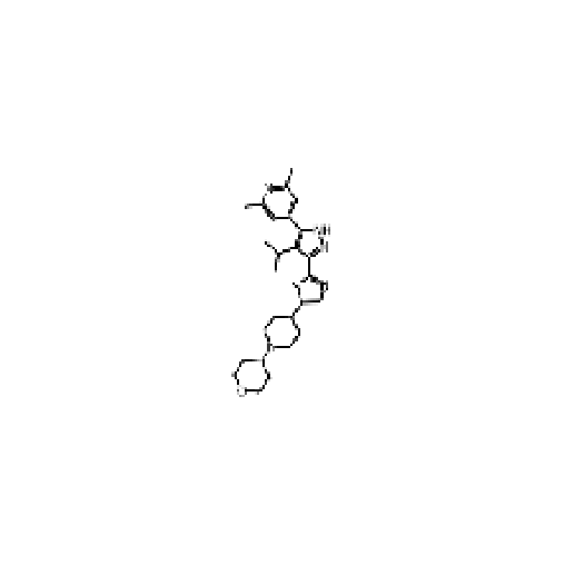 Cc1cc(-c2[nH]nc(-c3ncc(C4CCN(C5CCOCC5)CC4)s3)c2C(C)C)cc(C)n1